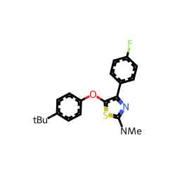 CNc1nc(-c2ccc(F)cc2)c(Oc2ccc(C(C)(C)C)cc2)s1